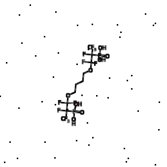 O=P(O)(O)C(F)(C(F)(F)F)C(F)(F)OCCCCOC(F)(F)C(F)(C(F)(F)F)P(=O)(O)O